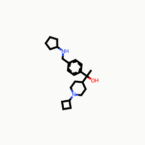 CC(O)(c1ccc(CNC2CCCC2)cc1)C1CCN(C2CCC2)CC1